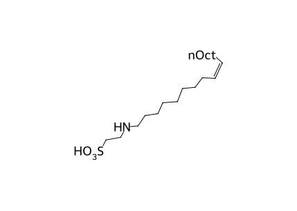 CCCCCCCC/C=C\CCCCCCCCNCCS(=O)(=O)O